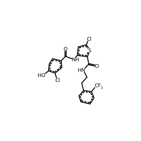 O=C(Nc1cc(Cl)sc1C(=O)NCCc1ccccc1C(F)(F)F)c1ccc(O)c(Cl)c1